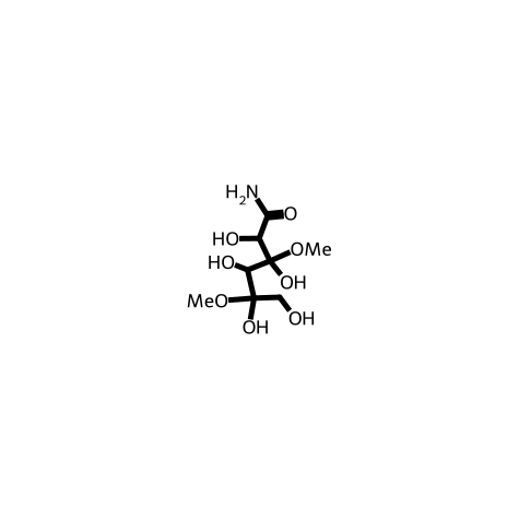 COC(O)(CO)C(O)C(O)(OC)C(O)C(N)=O